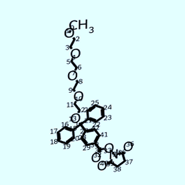 COCCOCCOCCOCCOC(c1ccccc1)(c1ccccc1)c1ccc(C(=O)ON2C(=O)CCC2=O)cc1